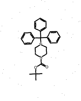 CC(C)(C)OC(=O)N1CCN(C(c2ccccc2)(c2ccccc2)c2ccccc2)CC1